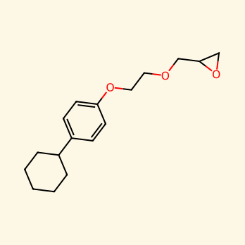 c1cc(C2CCCCC2)ccc1OCCOCC1CO1